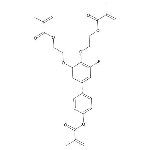 C=C(C)C(=O)OCCOC1=C(F)C=C(c2ccc(OC(=O)C(=C)C)cc2)CC1OCCOC(=O)C(=C)C